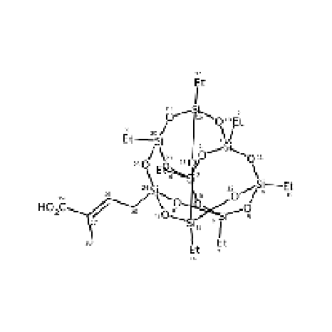 CC[Si]12O[Si]3(CC)O[Si]4(CC)O[Si](CC)(O1)O[Si]1(CC)O[Si](CC)(O2)O[Si](CC)(O3)O[Si](C/C=C(\C)C(=O)O)(O4)O1